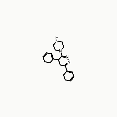 C1=CCCC(C2=NN=C(N3CCNCC3)C(C3=CC=CCC3)C2)=C1